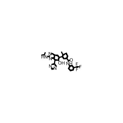 Cc1ccc(C(=O)Nc2cccc(C(F)(F)F)c2)cc1-c1cc2cnc(NC(C)C)nc2c(-c2cncnc2)c1O